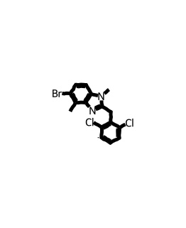 Cc1c(Br)ccc2c1nc(Cc1c(Cl)[c]ccc1Cl)n2C